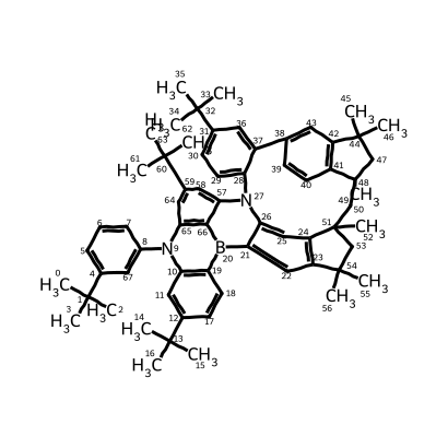 CC(C)(C)c1cccc(N2c3cc(C(C)(C)C)ccc3B3c4cc5c6cc4N(c4ccc(C(C)(C)C)cc4-c4ccc7c(c4)C(C)(C)CC7(C)CC6(C)CC5(C)C)c4cc(C(C)(C)C)cc2c43)c1